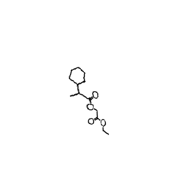 CCOC(=O)COC(=O)C(C)C1CCCCC1